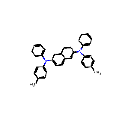 Cc1ccc(N(C2=CC=CCC2)c2ccc3cc(N(C4=CC=CCC4)c4ccc(C)cc4)ccc3c2)cc1